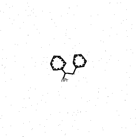 CCCC([C]c1ccccc1)c1ccccc1